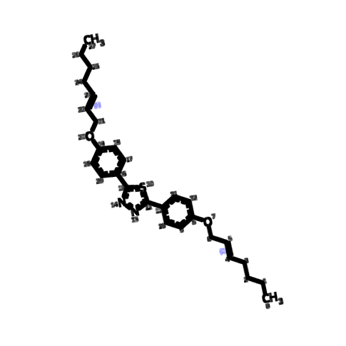 CCCC/C=C/COc1ccc(-c2nnc(-c3ccc(OC/C=C/CCCC)cc3)s2)cc1